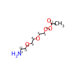 CC(=O)OOCCOCCOCCN